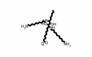 CCCCCCC(NCCCCCCCCCCN)C(O)C(O)C(CCCCCCCC(=O)OC)NCCCCCCCCCCN